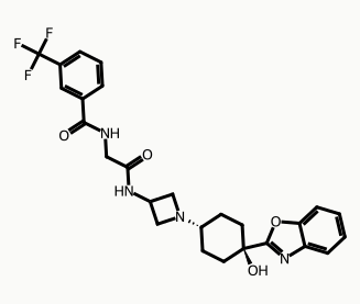 O=C(CNC(=O)c1cccc(C(F)(F)F)c1)NC1CN([C@H]2CC[C@@](O)(c3nc4ccccc4o3)CC2)C1